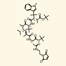 C/C(=C\[C@H](C(C)C)N(C)C(=O)[C@@H](NC(=O)[C@@H](N(C)C(=O)OC(C)(C)C)C(C)(C)c1cn(C)c2ccccc12)C(C)(C)C)C(=O)N[C@@H](CC(=O)NCCN1C(=O)C=CC1=O)C(=O)OC(C)(C)C